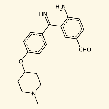 CN1CCC(Oc2ccc(C(=N)c3cc(C=O)ccc3N)cc2)CC1